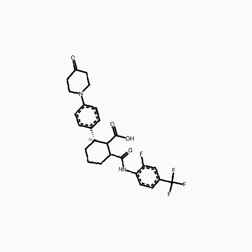 O=C1CCN(c2ccc([C@H]3CCCC(C(=O)Nc4ccc(C(F)(F)F)cc4F)C3C(=O)O)cc2)CC1